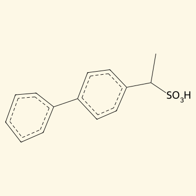 CC(c1ccc(-c2ccccc2)cc1)S(=O)(=O)O